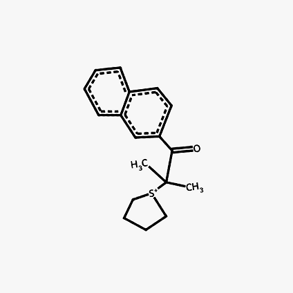 CC(C)(C(=O)c1ccc2ccccc2c1)[S+]1CCCC1